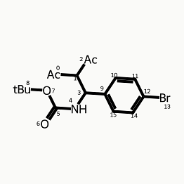 CC(=O)C(C(C)=O)C(NC(=O)OC(C)(C)C)c1ccc(Br)cc1